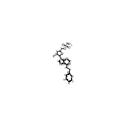 NS(=O)(=O)OC[C@@H]1C[C@H](F)[C@H](n2cnc3c(CCc4ccccc4)ncnc32)O1